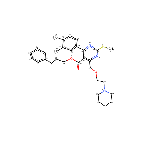 CSc1nc(COCCN2CCCCC2)c(C(=O)OCCCc2ccccc2)c(-c2ccc(C)c(C)c2)n1